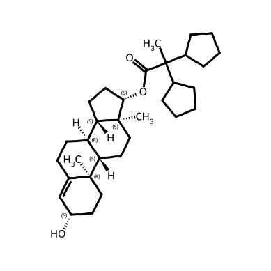 CC(C(=O)O[C@H]1CC[C@H]2[C@@H]3CCC4=C[C@@H](O)CC[C@]4(C)[C@H]3CC[C@]12C)(C1CCCC1)C1CCCC1